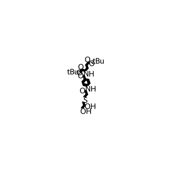 CC(C)(C)OC(=O)CCC(NC(=O)c1ccc(NC(=O)CCSCC(O)CO)cc1)C(=O)OC(C)(C)C